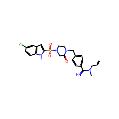 C=CCN(C)C(=N)c1ccc(CN2CCN(S(=O)(=O)c3cc4cc(Cl)ccc4[nH]3)CC2=O)cc1